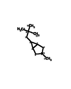 CN1CC2C(C1)C2CC(C)(C)C